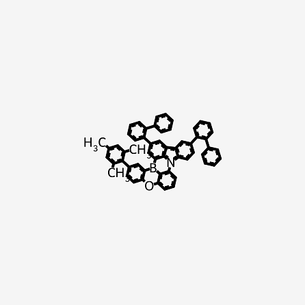 Cc1cc(C)c(-c2ccc3c(c2)B2c4c(cccc4-n4c5ccc(-c6ccccc6-c6ccccc6)cc5c5cc(-c6ccccc6-c6ccccc6)cc2c54)O3)c(C)c1